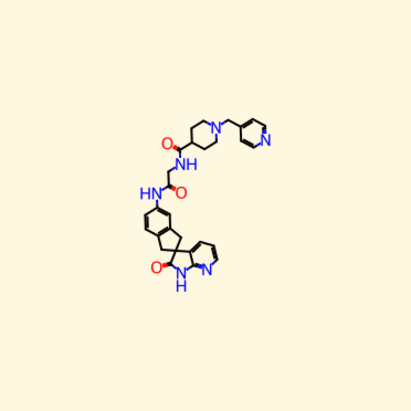 O=C(CNC(=O)C1CCN(Cc2ccncc2)CC1)Nc1ccc2c(c1)CC1(C2)C(=O)Nc2ncccc21